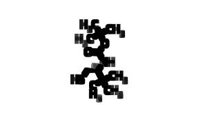 CC(C)(C)OC(=O)N[C@H](CS)C(C)(C)C